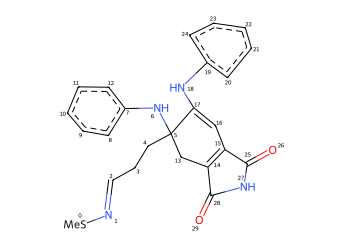 CSN=CCCC1(Nc2ccccc2)CC2=C(C=C1Nc1ccccc1)C(=O)NC2=O